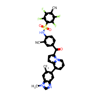 Cn1cnc2cc(-c3cccn4c(C(=O)c5ccc(NS(=O)(=O)c6c(F)c(F)c(C#N)c(F)c6F)c(C#N)c5)ccc34)c(C(F)(F)F)cc21